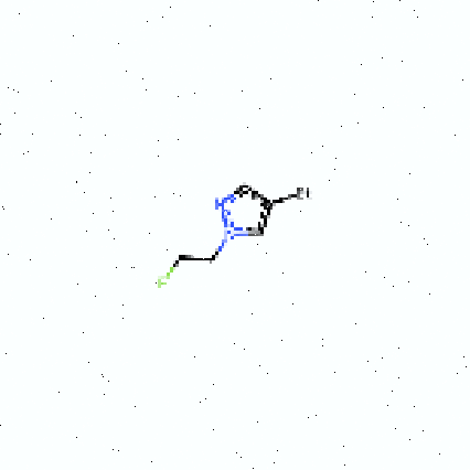 CCc1[c]nn(CCF)[c]1